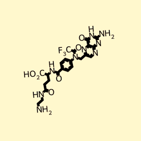 NCCNC(=O)CCC(NC(=O)c1ccc(N(Cc2cnc3nc(N)[nH]c(=O)c3n2)C(=O)C(F)(F)F)cc1)C(=O)O